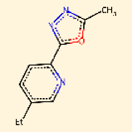 CCc1ccc(-c2nnc(C)o2)nc1